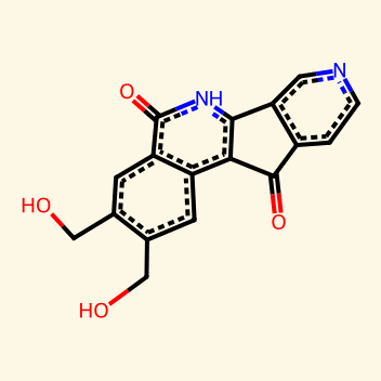 O=C1c2ccncc2-c2[nH]c(=O)c3cc(CO)c(CO)cc3c21